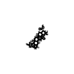 COC(=O)[C@@H]1CC(C)(C)C[C@@H]2C1CC[C@]1(C)[C@@H]2C(=O)C=C2[C@@]3(C)Cc4cnoc4[C@@](C)(c4nnc(C)o4)[C@@H]3CC[C@]21C